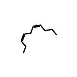 CC/C=C\C/C=C\CCC